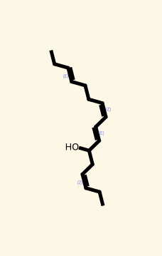 CC/C=C\CC(O)/C=C/C=C\CC/C=C/CC